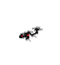 COc1cccc(OC)c1-c1cc(C(=O)NC2(C(=O)O)C3CC4CC(C3)CC2C4)nn1-c1ccc(C(=O)N(C)CCCN(C)CCCCc2cn([C@@H]3O[C@H](CO)[C@@H](O)C(O)C3F)nn2)cc1C(C)C